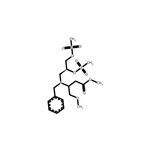 COCC(CC(=O)OC)N(Cc1ccccc1)C[C@@H](COS(C)(=O)=O)OS(C)(=O)=O